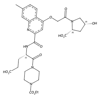 CCOC(=O)N1CCN(C(=O)[C@H](CCC(=O)O)NC(=O)c2cc(OCC(=O)N3C[C@H](O)C[C@@H]3C(=O)O)c3ccc(C)cc3n2)CC1